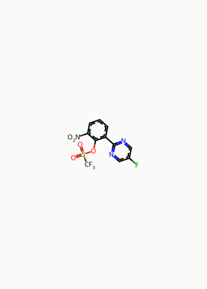 O=[N+]([O-])c1cccc(-c2ncc(F)cn2)c1OS(=O)(=O)C(F)(F)F